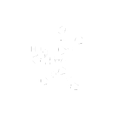 CO[C@@H](C(=O)O[C@H]1Cc2c(OCc3ccccc3)cc(OCc3ccccc3)cc2O[C@H]1c1ccc(OCc2ccccc2)c(OCc2ccccc2)c1)c1ccccc1